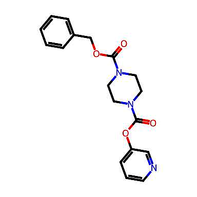 O=C(OCc1ccccc1)N1CCN(C(=O)Oc2cccnc2)CC1